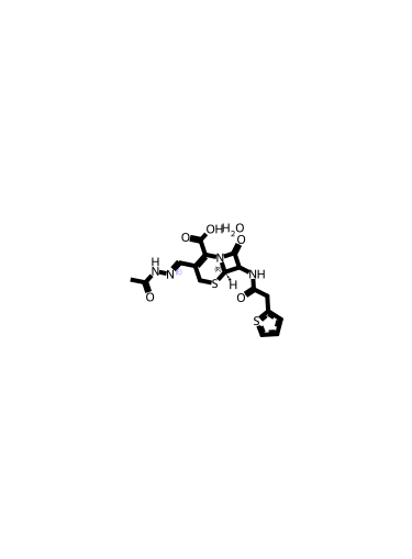 CC(=O)N/N=C/C1=C(C(=O)O)N2C(=O)C(NC(=O)Cc3cccs3)[C@H]2SC1.O